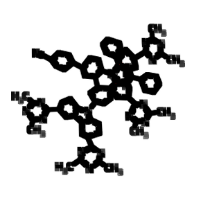 Cc1nc(C)nc(-c2ccc3c(c2)c2cc(-c4nc(C)nc(C)n4)ccc2n3-c2ccc(-c3nc(-c4ccccc4)nc(-c4ccccc4)n3)c(-c3cc(-c4ccc(C#N)cc4)ccc3-n3c4ccc(-c5nc(C)nc(C)n5)cc4c4cc(-c5nc(C)nc(C)n5)ccc43)c2)n1